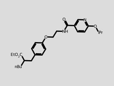 CCCCC(Cc1ccc(OCCNC(=O)c2ccc(OC(C)C)nc2)cc1)C(=O)OCC